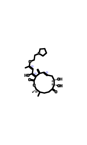 C=C1/C=C/C[C@H](O)[C@H](O)C(=O)CCC(C)[C@H](C)OC(=O)/C1=C(O)/C=C(\C)OCCN1CCCC1